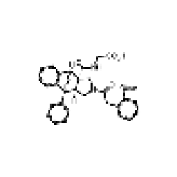 COc1ccccc1CC(=O)N1C[C@H]2[C@@]3(c4ccccc4)CC[C@H](c4ccccc43)[C@@]2(C(=O)NCC(=O)O)C1